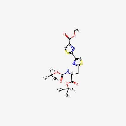 COC(=O)c1csc(-c2csc(C[C@H](NC(=O)OC(C)(C)C)C(=O)OC(C)(C)C)n2)n1